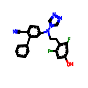 N#Cc1ccc(N(CCc2c(F)cc(O)cc2F)n2cnnc2)cc1-c1ccccc1